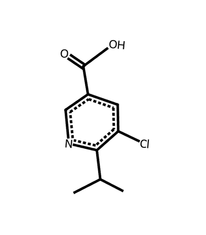 CC(C)c1ncc(C(=O)O)cc1Cl